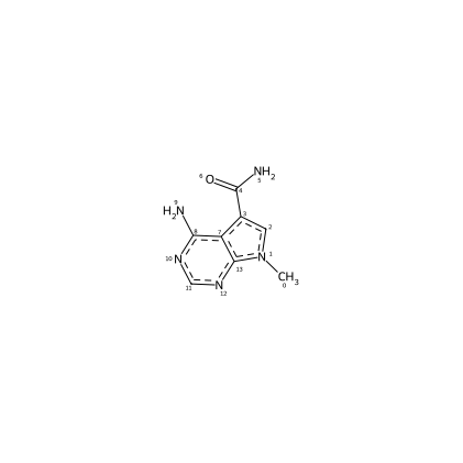 Cn1cc(C(N)=O)c2c(N)ncnc21